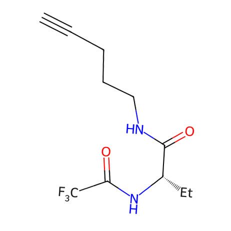 C#CCCCNC(=O)[C@H](CC)NC(=O)C(F)(F)F